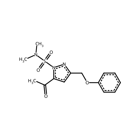 CC(=O)c1cc(COc2ccccc2)nn1S(=O)(=O)N(C)C